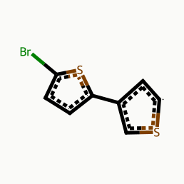 Brc1ccc(-c2c[c]sc2)s1